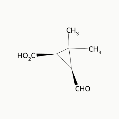 CC1(C)[C@H](C(=O)O)[C@@H]1C=O